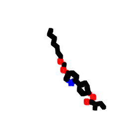 CCCCCCCOCOc1ccc(-c2ccc(OC(=O)C(C)CC)cc2)nc1